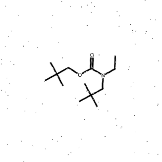 CCN(CC(C)(C)C)C(=O)OCC(C)(C)C